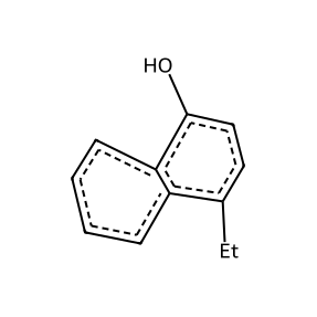 CCc1ccc(O)c2ccccc12